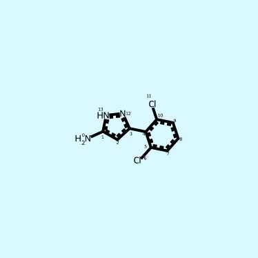 Nc1cc(-c2c(Cl)cccc2Cl)n[nH]1